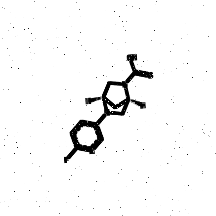 O=C(O)N1C[C@H]2C[C@@H]1CN2c1ccc(F)nc1